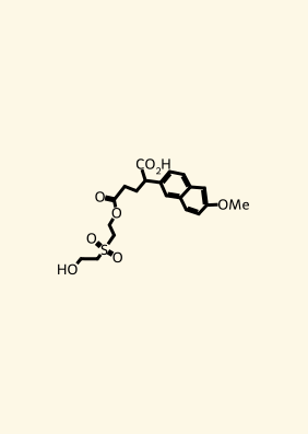 COc1ccc2cc(C(CCC(=O)OCCS(=O)(=O)CCO)C(=O)O)ccc2c1